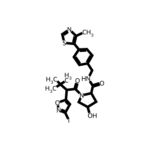 Cc1ncsc1-c1ccc(CNC(=O)C2CC(O)CN2C(=O)C(c2cc(I)no2)C(C)(C)C)cc1